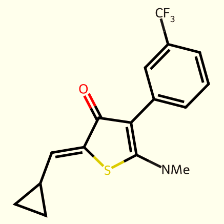 CNC1=C(c2cccc(C(F)(F)F)c2)C(=O)C(=CC2CC2)S1